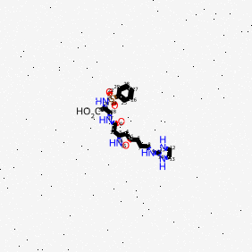 O=C(CC1CC(CCCNC2NCCN2)ON1)NCC(NS(=O)(=O)c1ccccc1)C(=O)O